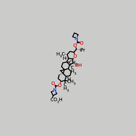 CC(C)[C@@H](OC(=O)N1CCC1)C1C[C@@H](C)[C@H]2C(O1)[C@H](O)[C@@]1(C)C3CC[C@H]4C(C)(C)[C@@H](OC(=O)N5CC(C(=O)O)C5)CC[C@@]45CC35CC[C@]21C